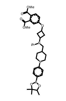 COC(=O)c1ccc(OC2CC(N(CC3CCN(c4ccc(B5OC(C)C(C)(C)O5)cc4)CC3)C(C)C)C2)cc1C(=O)OC